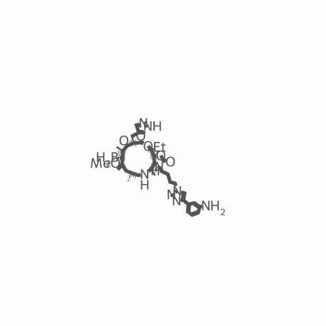 B[C@@H]1[C@@H](C)C(=O)[C@@H](Cc2cn[nH]c2)C(=O)O[C@H](CC)[C@@]2(C)OC(=O)N(CCCCn3cc(-c4cccc(N)c4)nn3)[C@@H]2[C@@H](C)NC[C@H](C)C[C@@]1(C)OC